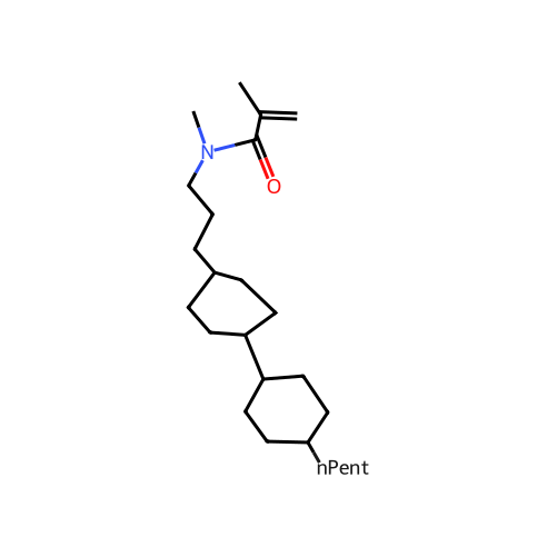 C=C(C)C(=O)N(C)CCCC1CCC(C2CCC(CCCCC)CC2)CC1